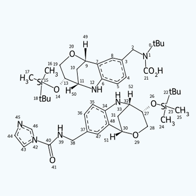 CC(C)(C)N(Cc1ccc2c(c1)[C@@H]1C[C@H](N2)[C@H](O[Si](C)(C)C(C)(C)C)CO1)C(=O)O.CC(C)(C)[Si](C)(C)O[C@@H]1CO[C@H]2C[C@@H]1Nc1ccc(CNC(=O)n3ccnc3)cc12